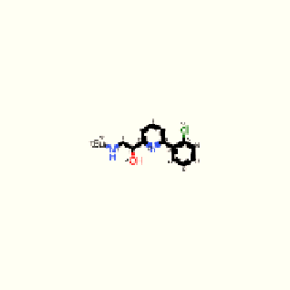 CC(C)(C)NC[C@H](O)c1cccc(-c2ccccc2Cl)n1